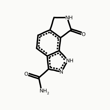 NC(=O)c1n[nH]c2c3c(ccc12)CNC3=O